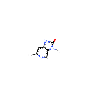 CCn1c(=O)[nH]c2cc(C(C)C)ncc21